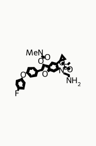 CNC(=O)Oc1c(-c2ccc(Oc3ccc(F)cc3)cc2)oc2cc(N(CCN)S(C)(=O)=O)c(C3CC3)cc12